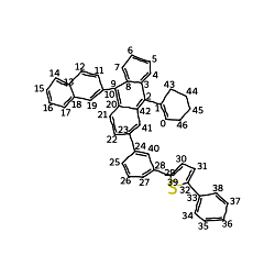 C1=C(c2c3ccccc3c(-c3ccc4ccccc4c3)c3ccc(-c4cccc(-c5ccc(-c6ccccc6)s5)c4)cc23)CCCC1